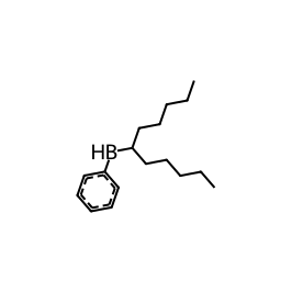 CCCCCC(Bc1ccccc1)CCCCC